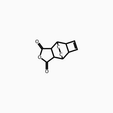 O=C1OC(=O)C2C3CCC(C4C=CC43)C12